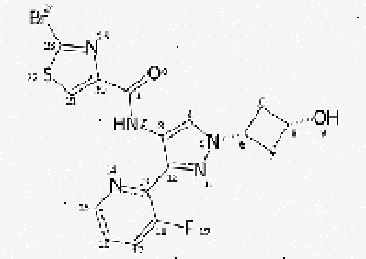 O=C(Nc1cn([C@H]2C[C@@H](O)C2)nc1-c1ncccc1F)c1csc(Br)n1